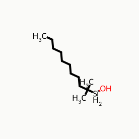 CCCCCCCCCC(C)(C)[SiH2]O